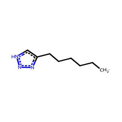 [CH2]CCCCCc1c[nH]nn1